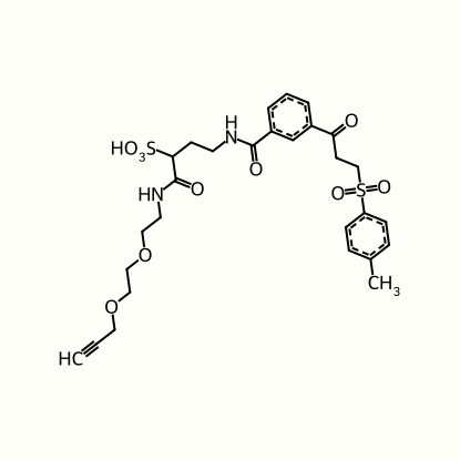 C#CCOCCOCCNC(=O)C(CCNC(=O)c1cccc(C(=O)CCS(=O)(=O)c2ccc(C)cc2)c1)S(=O)(=O)O